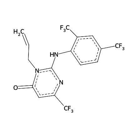 C=CCn1c(Nc2ccc(C(F)(F)F)cc2C(F)(F)F)nc(C(F)(F)F)cc1=O